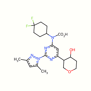 Cc1cc(C)n(-c2nc(C3COCCC3O)cc(N(C(=O)O)C3CCC(F)(F)CC3)n2)n1